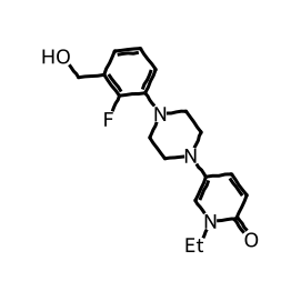 CCn1cc(N2CCN(c3cccc(CO)c3F)CC2)ccc1=O